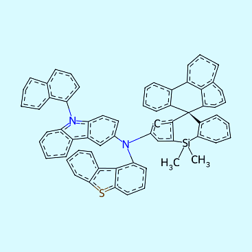 C[Si]1(C)c2ccccc2[C@]2(c3ccccc3-c3cccc4cccc2c34)c2ccc(N(c3ccc4c(c3)c3ccccc3n4-c3cccc4ccccc34)c3cccc4sc5ccccc5c34)cc21